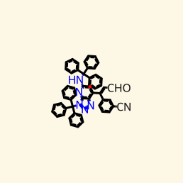 N#Cc1cccc(/C(=C\C=O)c2cc(NC(c3ccccc3)(c3ccccc3)c3ccccc3)nc3c2nnn3C(c2ccccc2)(c2ccccc2)c2ccccc2)c1